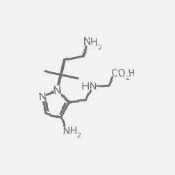 CC(C)(CCN)n1ncc(N)c1CNCC(=O)O